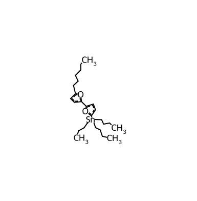 CCCCCCc1ccc(-c2cc[c]([Sn]([CH2]CCC)([CH2]CCC)[CH2]CCC)o2)o1